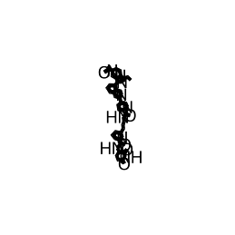 CCc1nc(-c2cccc3cc(-c4ccc(C(=O)NCCCc5cccc(C(=O)NC6CCC(=O)NC6=O)n5)nc4)ncc23)c2n1CCN(C(C)=O)C2